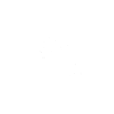 CN(C)c1cccc(C(=O)COc2cccc(Cl)c2)c1